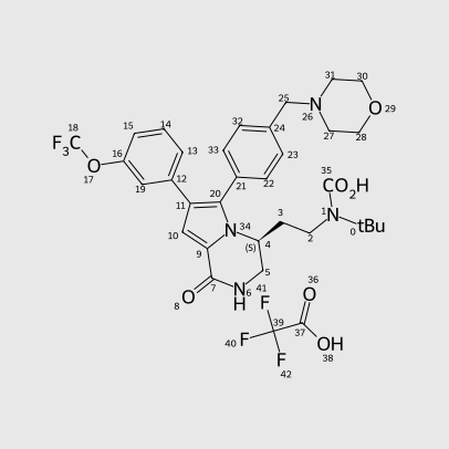 CC(C)(C)N(CC[C@H]1CNC(=O)c2cc(-c3cccc(OC(F)(F)F)c3)c(-c3ccc(CN4CCOCC4)cc3)n21)C(=O)O.O=C(O)C(F)(F)F